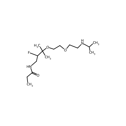 CCC(=O)NCC(F)C(C)(C)OCCOCCNC(C)C